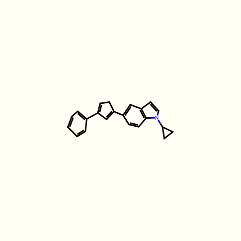 C1=C(c2ccccc2)C=C(c2ccc3c(ccn3C3CC3)c2)C1